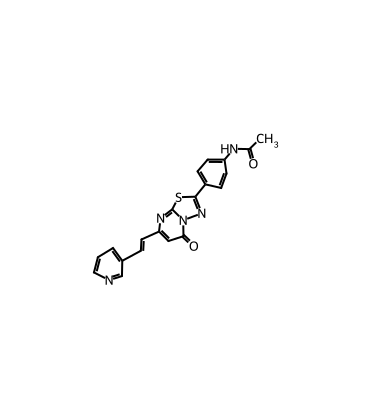 CC(=O)Nc1ccc(-c2nn3c(=O)cc(/C=C/c4cccnc4)nc3s2)cc1